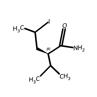 CC(I)C[C@@H](C(N)=O)C(C)C